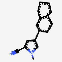 Cn1cc(-c2ccc3ccccc3c2)cc1C#N